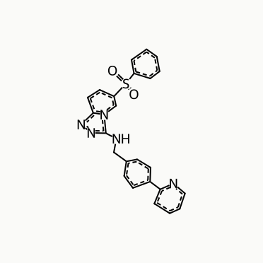 O=S(=O)(c1ccccc1)c1ccc2nnc(NCc3ccc(-c4ccccn4)cc3)n2c1